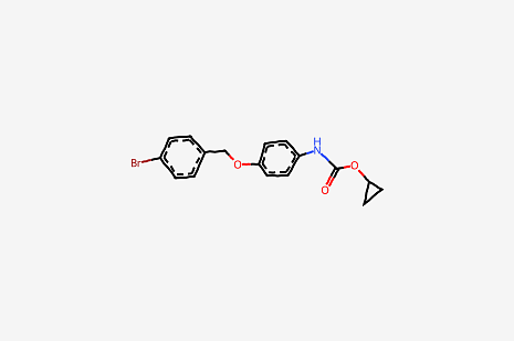 O=C(Nc1ccc(OCc2ccc(Br)cc2)cc1)OC1CC1